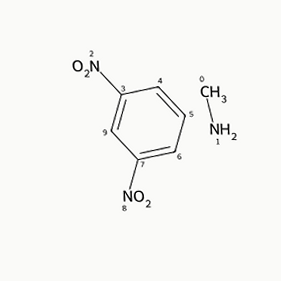 CN.O=[N+]([O-])c1cccc([N+](=O)[O-])c1